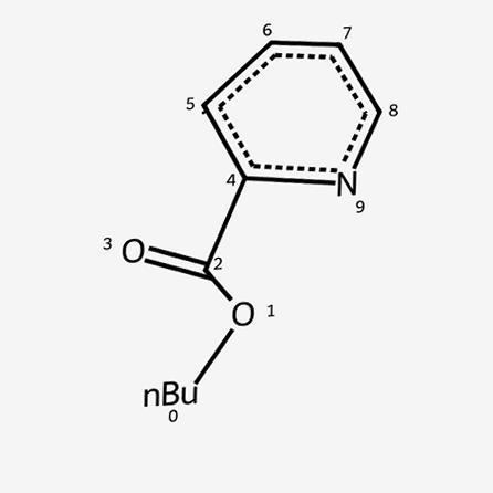 CCCCOC(=O)c1[c]cccn1